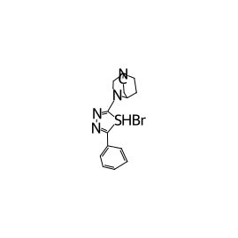 Br.c1ccc(-c2nnc(N3CCN4CCC3CC4)s2)cc1